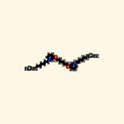 CCCCCCCCCCCCCCCC[n+]1cccc(OCCCCCCOc2ccc[n+](CCCCCCCCCCCCCCCC)c2)c1